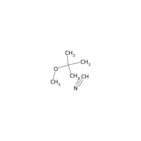 C#N.COC(C)(C)C